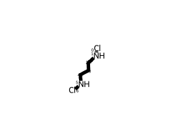 ClN[CH]CCNCl